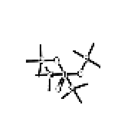 C[Si](C)(C)[O][Ti](=[O])([O][Si](C)(C)C)([Si](C)(C)C)[Si](C)(C)C